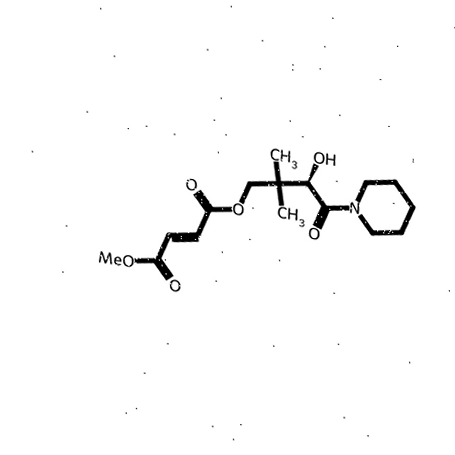 COC(=O)/C=C/C(=O)OCC(C)(C)[C@@H](O)C(=O)N1CCCCC1